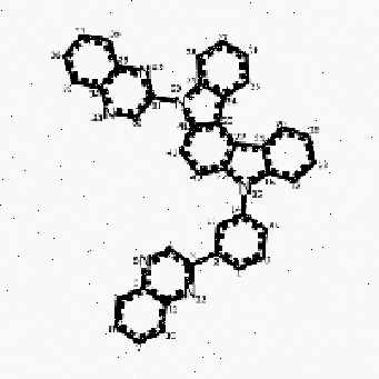 c1cc(-c2cnc3ccccc3n2)cc(-n2c3ccccc3c3c4c5ccccc5n(-c5cnc6ccccc6n5)c4ccc32)c1